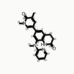 Cc1cc(-c2cc3c(c(N(C)c4ccccn4)c2)NC(=O)CC3)cn(C)c1=O